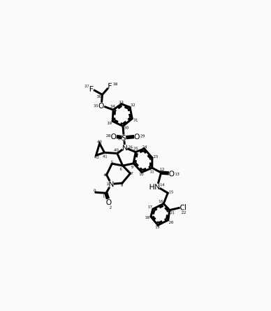 CC(=O)N1CCC2(CC1)c1cc(C(=O)NCc3ccccc3Cl)ccc1N(S(=O)(=O)c1cccc(OC(F)F)c1)C2C1CC1